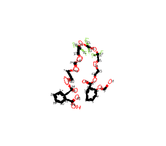 O=COc1ccccc1C(=O)OCCOCC(F)(F)OC(F)(F)OC(F)(F)COCOCCOC(=O)c1ccccc1C(=O)O